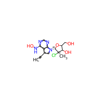 C#Cc1cn([C@@H]2OC(CO)C(O)[C@@]2(C)Cl)c2ncnc(NO)c12